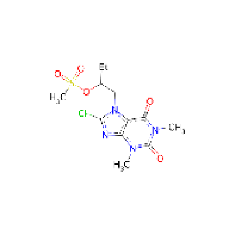 CCC(Cn1c(Cl)nc2c1c(=O)n(C)c(=O)n2C)OS(C)(=O)=O